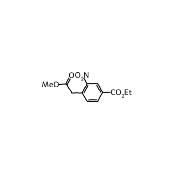 CCOC(=O)c1ccc(CC(=O)OC)c([N+](=O)[O-])c1